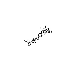 CCOC(=O)c1cnn(COc2ccc(OC(F)C(O)(O)C(F)F)cc2)c1